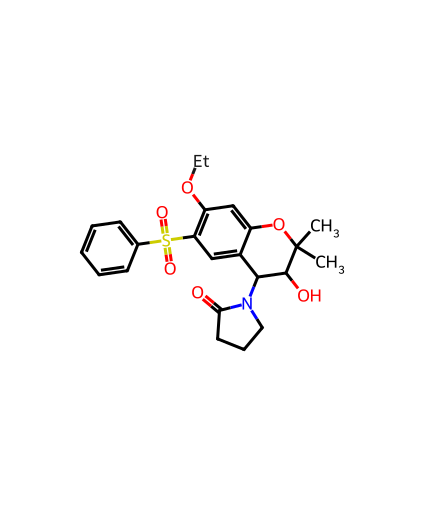 CCOc1cc2c(cc1S(=O)(=O)c1ccccc1)C(N1CCCC1=O)C(O)C(C)(C)O2